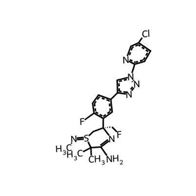 C/N=S1/C[C@@](CF)(c2cc(-c3cn(-c4ccc(Cl)cn4)nn3)ccc2F)N=C(N)C1(C)C